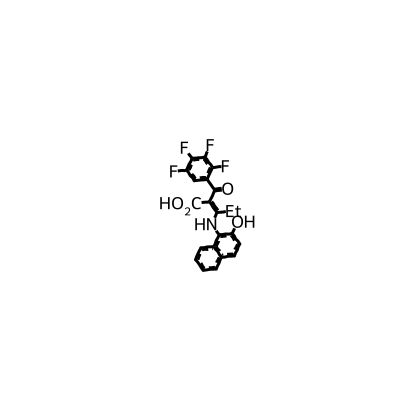 CCC(Nc1c(O)ccc2ccccc12)=C(C(=O)O)C(=O)c1cc(F)c(F)c(F)c1F